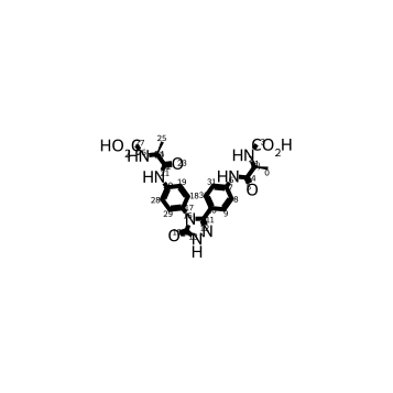 C[C@H](NC(=O)O)C(=O)Nc1ccc(-c2n[nH]c(=O)n2-c2ccc(NC(=O)[C@H](C)NC(=O)O)cc2)cc1